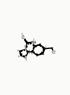 O=c1[nH]c2cc(CCl)ccc2c2nccn12